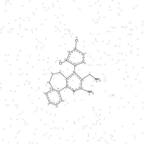 NCc1c(N)nc2c(c1-c1ccc(Cl)cc1Cl)CCCc1ccccc1-2